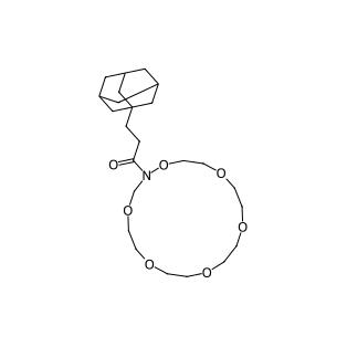 O=C(CCC12CC3CC(CC(C3)C1)C2)N1COCCOCCOCCOCCOCCO1